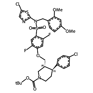 COc1ccc(CN(c2ncc(Cl)s2)S(=O)(=O)c2cc(F)c(OC[C@H]3CN(C(=O)OC(C)(C)C)CC[C@@H]3c3ccc(Cl)cc3)cc2F)c(OC)c1